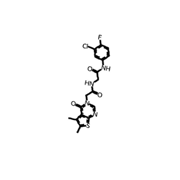 Cc1sc2ncn(CC(=O)NCC(=O)Nc3ccc(F)c(Cl)c3)c(=O)c2c1C